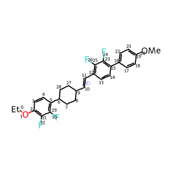 CCOc1ccc(C2CCC(/C=C/c3ccc(-c4ccc(OC)cc4)c(F)c3F)CC2)c(F)c1F